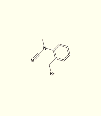 CN(C#N)c1ccccc1CBr